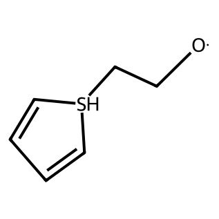 [O]CC[SH]1C=CC=C1